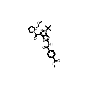 COC[C@@H]1CCCN1C(=O)c1nn(C(C)(C)C)c2nc(NC(=O)c3ccc(C(=O)OC)cc3)sc12